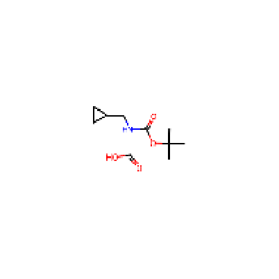 CC(C)(C)OC(=O)NCC1CC1.O=CO